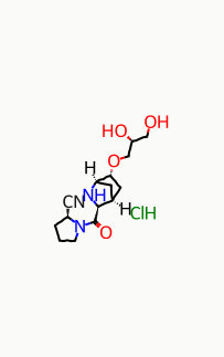 Cl.N#C[C@@H]1CCCN1C(=O)[C@H]1N[C@@H]2C[C@H]1C[C@H]2OC[C@@H](O)CO